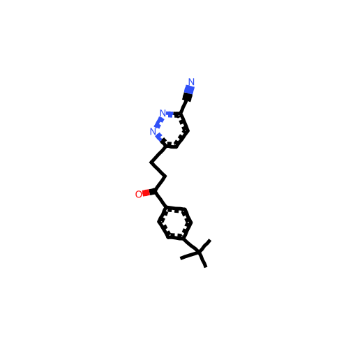 CC(C)(C)c1ccc(C(=O)CCc2ccc(C#N)nn2)cc1